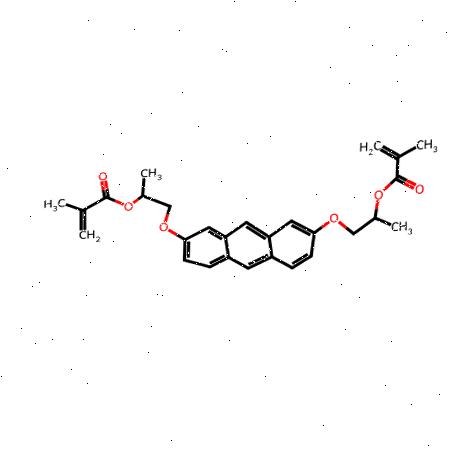 C=C(C)C(=O)OC(C)COc1ccc2cc3ccc(OCC(C)OC(=O)C(=C)C)cc3cc2c1